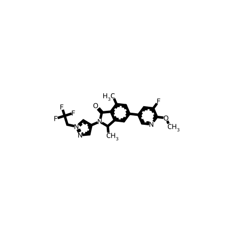 COc1ncc(-c2cc(C)c3c(c2)C(C)N(c2cnn(CC(F)(F)F)c2)C3=O)cc1F